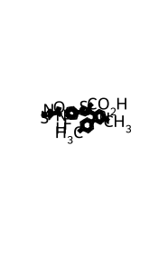 CC1CCC(C2=C(c3cc(-c4ccc(NC(=O)c5cscn5)c(F)c4)sc3C(=O)O)CCN(C)C2)CC1